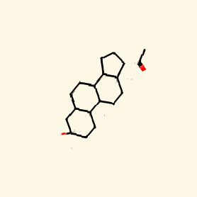 CC(=O)[C@H]1CCC2C3CCC4C[C@](C)(O)CC[C@]4(C)C3CC[C@@]21C